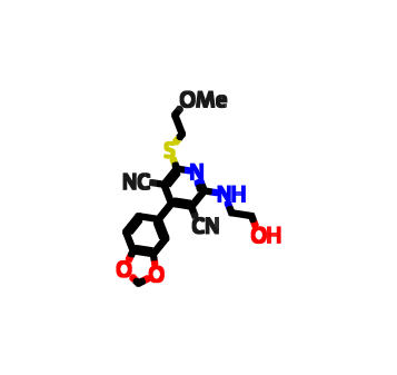 COCCSc1nc(NCCO)c(C#N)c(-c2ccc3c(c2)OCO3)c1C#N